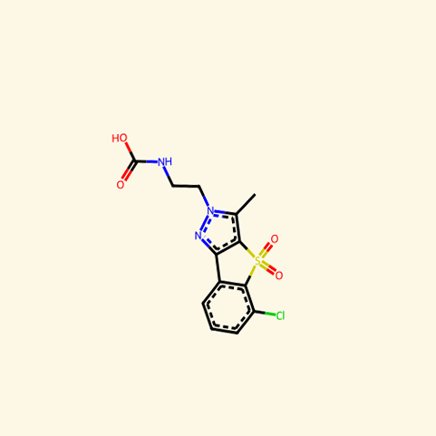 Cc1c2c(nn1CCNC(=O)O)-c1cccc(Cl)c1S2(=O)=O